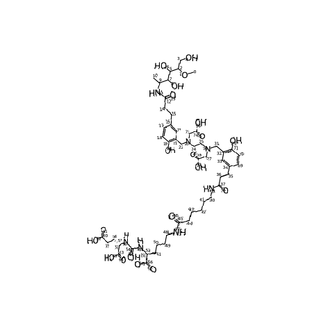 COC(CO)C(O)C(O)C(C)NC(=O)CCc1ccc(O)c(CN(CCN(CC(=O)O)Cc2cc(CCC(=O)NCCCCCC(=O)NCCCC[C@H](NC(=O)N[C@@H](CCC(=O)O)C(=O)O)C(=O)O)ccc2O)CC(=O)O)c1